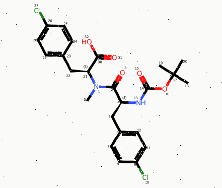 CN(C(=O)[C@H](Cc1ccc(Cl)cc1)NC(=O)OC(C)(C)C)[C@@H](Cc1ccc(Cl)cc1)C(=O)O